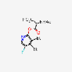 CCc1c(F)cnc(OC(=O)C(NC(C)=O)C(=O)O)c1CC